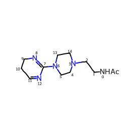 CC(=O)NCCN1CCN(C2=NCCC=N2)CC1